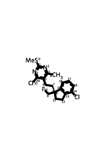 CSc1nc(C)c(CC[C@]2(CF)CCc3c(Cl)cccc32)c(Cl)n1